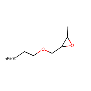 CCCCCCCOCC1OC1C